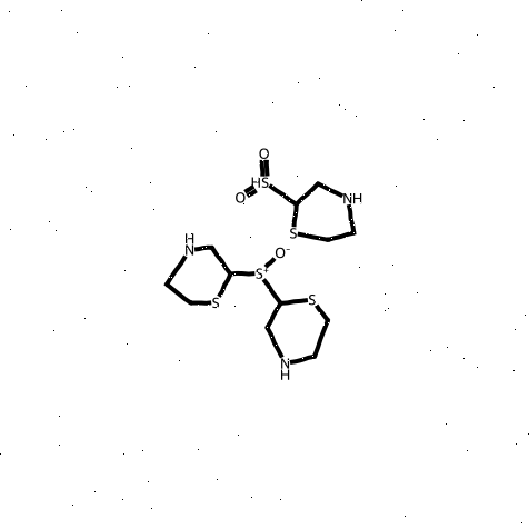 O=[SH](=O)C1CNCCS1.[O-][S+](C1CNCCS1)C1CNCCS1